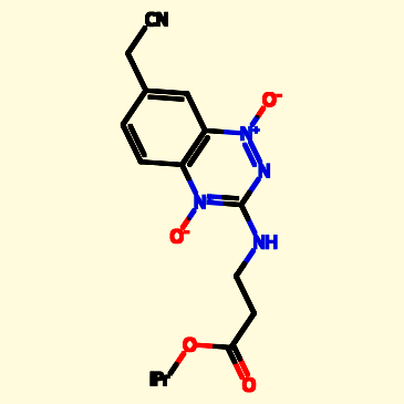 CC(C)OC(=O)CCNc1n[n+]([O-])c2cc(CC#N)ccc2[n+]1[O-]